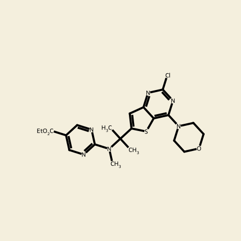 CCOC(=O)c1cnc(N(C)C(C)(C)c2cc3nc(Cl)nc(N4CCOCC4)c3s2)nc1